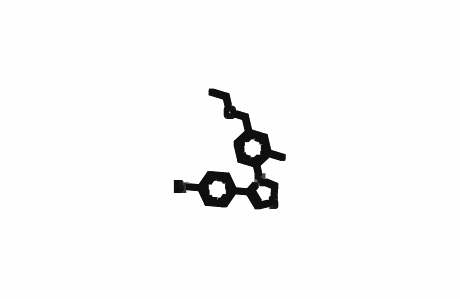 CCOCc1ccc(N2CSC=C2c2ccc(Br)cc2)c(C)c1